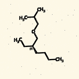 CCCC[C@@H](CC)COCC(C)C